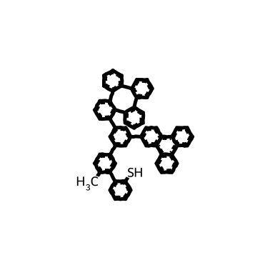 Cc1ccc(-c2cc(-c3ccc4c5ccccc5c5ccccc5c4c3)cc(-c3cccc4c3-c3ccccc3-c3ccccc3-c3ccccc3-4)c2)cc1-c1ccccc1S